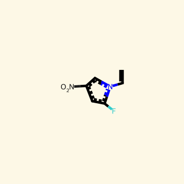 C=Cn1cc([N+](=O)[O-])cc1F